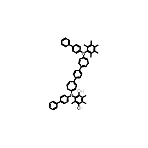 Cc1c(C)c(C)c(N(C2=CCC=C(c3ccc(C4=CC=C(N(c5ccc(-c6ccccc6)cc5)c5c(C)c(O)c(C)c(C)c5O)CC=C4)cc3)C=C2)c2ccc(-c3ccccc3)cc2)c(C)c1C